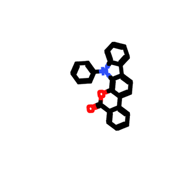 O=c1oc2c(ccc3c4ccccc4n(-c4ccccc4)c32)c2ccccc12